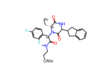 COCCN(C)C(=O)[C@@H](c1ccc(F)cc1F)N1C(=O)C(C2Cc3ccccc3C2)NC(=O)[C@H]1CC(C)C